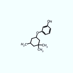 CC1CC(Oc2cccc(O)c2)CC(C)(C)C1